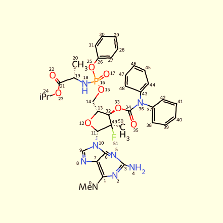 CNc1nc(N)nc2c1ncn2[C@@H]1O[C@H](COP(=O)(N[C@@H](C)C(=O)OC(C)C)Oc2ccccc2)[C@@H](OC(=O)N(c2ccccc2)c2ccccc2)[C@@]1(C)F